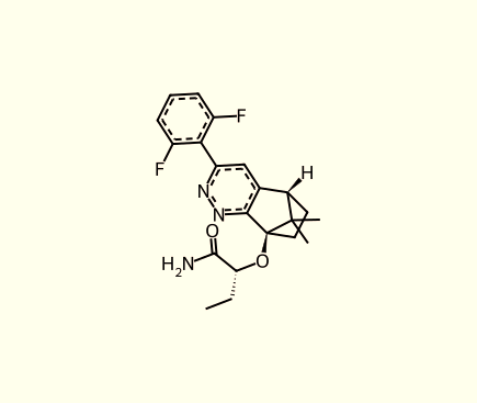 CC[C@@H](O[C@@]12CC[C@@H](c3cc(-c4c(F)cccc4F)nnc31)C2(C)C)C(N)=O